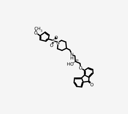 COc1ccc(S(=O)(=O)N2CCC(CNC[C@@H](O)COc3cccc4c3-c3ccccc3C4=O)CC2)cc1